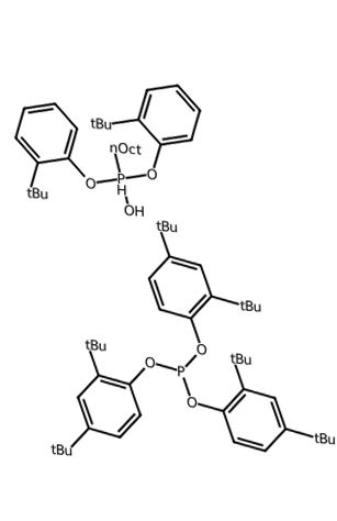 CC(C)(C)c1ccc(OP(Oc2ccc(C(C)(C)C)cc2C(C)(C)C)Oc2ccc(C(C)(C)C)cc2C(C)(C)C)c(C(C)(C)C)c1.CCCCCCCC[PH](O)(Oc1ccccc1C(C)(C)C)Oc1ccccc1C(C)(C)C